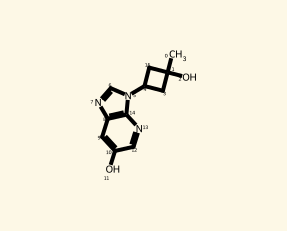 CC1(O)CC(n2cnc3cc(O)cnc32)C1